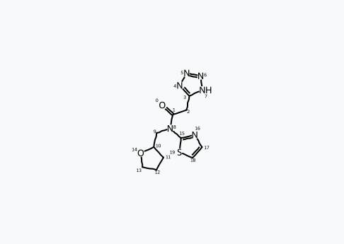 O=C(Cc1nnn[nH]1)N(CC1CCCO1)c1nccs1